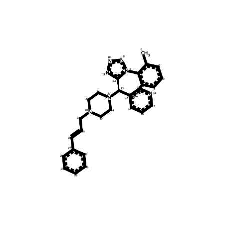 Cc1cccc(C)c1-n1nnnc1[C@@H](c1cccnc1)N1CCN(C/C=C/c2ccccc2)CC1